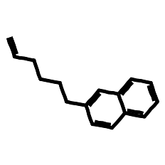 [CH]=CCCCCc1ccc2ccccc2c1